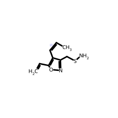 C=Cc1onc(CSN)c1/C=C\C